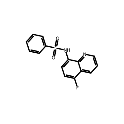 O=S(=O)(Nc1ccc(F)c2cccnc12)c1ccccc1